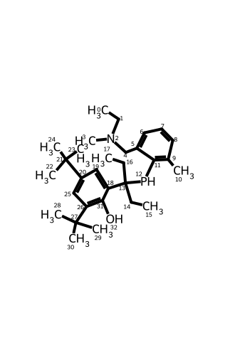 CCN(C)Cc1cccc(C)c1PC(CC)(CC)c1cc(C(C)(C)C)cc(C(C)(C)C)c1O